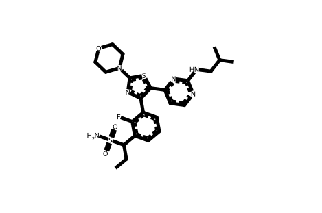 CCC(c1cccc(-c2nc(N3CCOCC3)sc2-c2ccnc(NCC(C)C)n2)c1F)S(N)(=O)=O